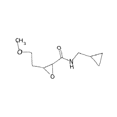 COCCC1OC1C(=O)NCC1CC1